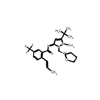 C/C=C/c1ccc(C(F)(F)F)cc1C(=O)N=c1cc(C(C)(C)C)n(C)n1C[C@H]1CCCO1